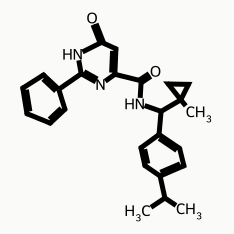 CC(C)c1ccc(C(NC(=O)c2cc(=O)[nH]c(-c3ccccc3)n2)C2(C)CC2)cc1